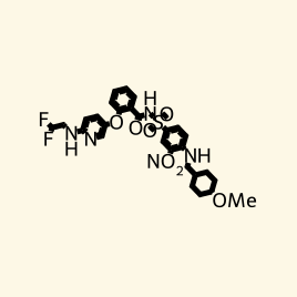 COC1CCC(CNc2ccc(S(=O)(=O)NC(=O)c3ccccc3Oc3ccc(NCC(F)F)nc3)cc2[N+](=O)[O-])CC1